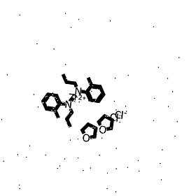 C1CCOC1.C1CCOC1.CCC[N]([Zr+2][N](CCC)c1ccccc1C)c1ccccc1C.[Cl-].[Cl-]